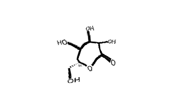 O=C1O[C@H](CO)C(O)C(O)C1O